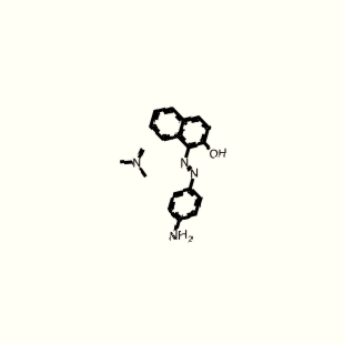 CN(C)C.Nc1ccc(N=Nc2c(O)ccc3ccccc23)cc1